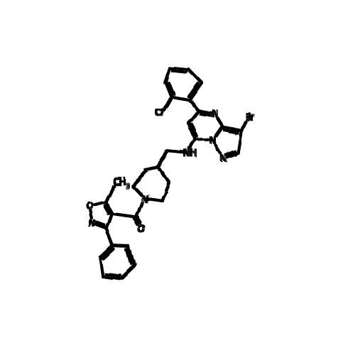 Cc1onc(-c2ccccc2)c1C(=O)N1CCC(CNc2cc(-c3ccccc3Cl)nc3c(Br)cnn23)CC1